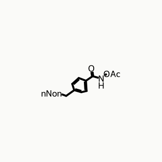 CCCCCCCCCCc1ccc(C(=O)NOC(C)=O)cc1